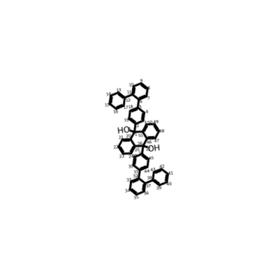 OC1(c2ccc(-c3ccccc3-c3ccccc3)cc2)c2ccccc2C(O)(c2ccc(-c3ccccc3-c3ccccc3)cc2)c2ccccc21